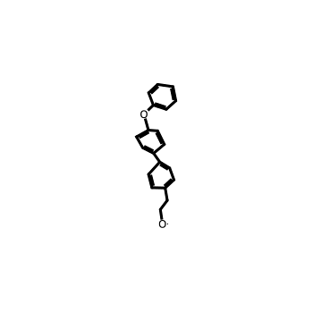 [O]CCc1ccc(-c2ccc(Oc3ccccc3)cc2)cc1